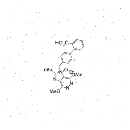 CCCCC1=Nc2c(OC)nnc(OC)c2[N+]1(Cc1ccc(-c2ccccc2C(=O)O)cc1)OCC